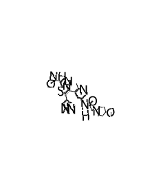 COC1CCN(CC(=O)Nc2cnc(C)c(-c3c(-c4cnn(C)c4)sc4c(C(N)=O)cnn34)c2)CC1